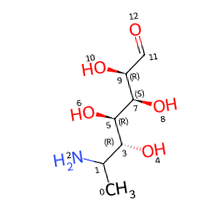 CC(N)[C@@H](O)[C@@H](O)[C@H](O)[C@@H](O)C=O